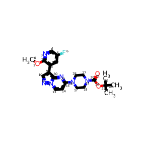 COc1ncc(F)cc1-c1cnn2ccc(N3CCN(C(=O)OC(C)(C)C)CC3)nc12